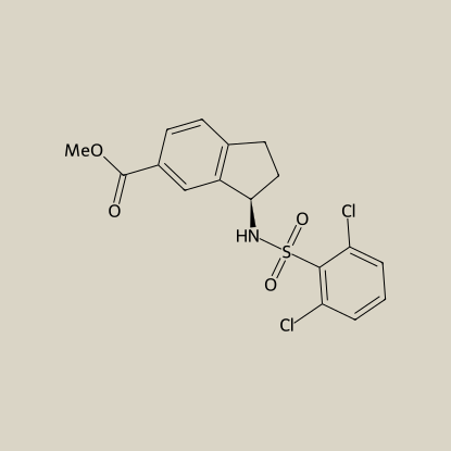 COC(=O)c1ccc2c(c1)[C@H](NS(=O)(=O)c1c(Cl)cccc1Cl)CC2